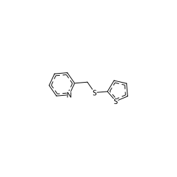 c1ccc(CSc2cccs2)nc1